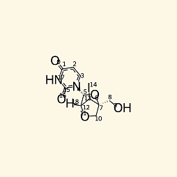 O=c1ccn([C@@H]2O[C@@]3(CO)CO[C@H]2C3I)c(=O)[nH]1